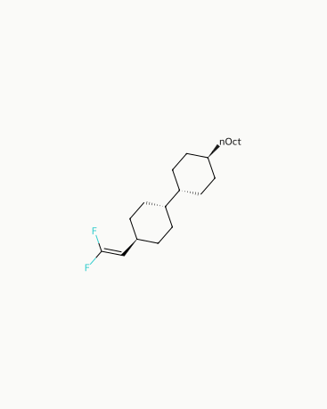 CCCCCCCC[C@H]1CC[C@H]([C@H]2CC[C@H](C=C(F)F)CC2)CC1